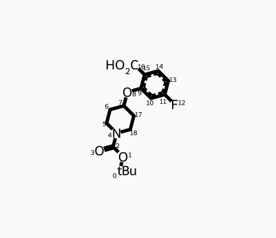 CC(C)(C)OC(=O)N1CCC(Oc2cc(F)ccc2C(=O)O)CC1